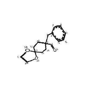 O=CC1(Cc2ccccc2)CCC2(CC1)OCCO2